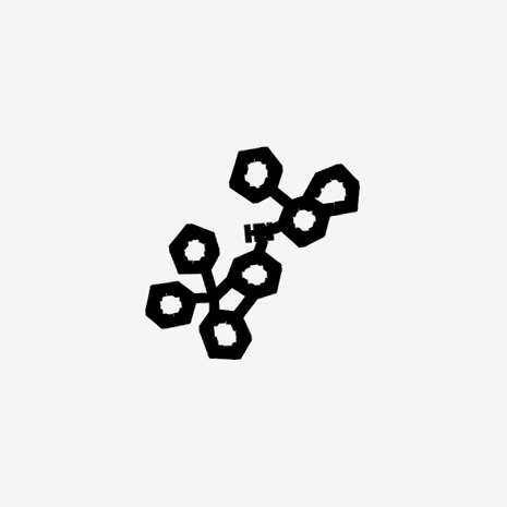 c1ccc(-c2c(Nc3ccc4c(c3)C(c3ccccc3)(c3ccccc3)c3ccccc3-4)ccc3ccccc23)cc1